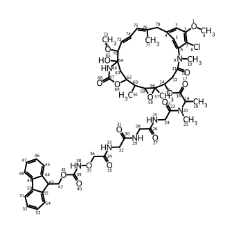 COc1cc2cc(c1Cl)N(C)C(=O)CC(OC(=O)C(C)N(C)C(=O)CNC(=O)CNC(=O)CNC(=O)CONC(=O)OCC1c3ccccc3-c3ccccc31)C1(C)OC1C(C)C1CC(O)(NC(=O)O1)C(OC)/C=C/C=C(\C)C2